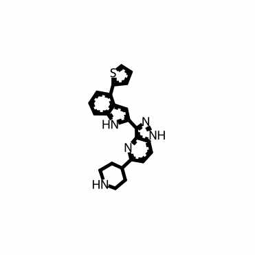 c1csc(-c2cccc3[nH]c(-c4n[nH]c5ccc(C6CCNCC6)nc45)cc23)c1